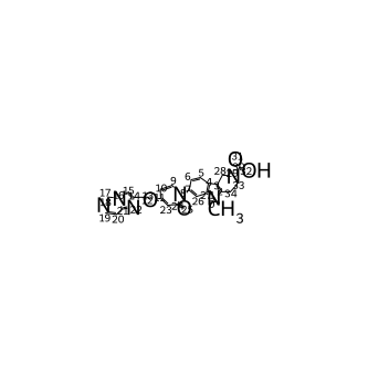 Cn1c2c(c3ccc(-n4ccc(OCc5cn6cnccc6n5)cc4=O)cc31)CN(C(=O)O)CC2